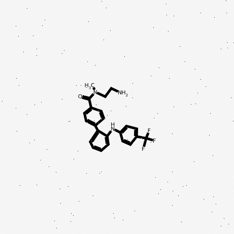 CN(CCN)C(=O)c1ccc(-c2ccccc2Nc2ccc(C(F)(F)F)cc2)cc1